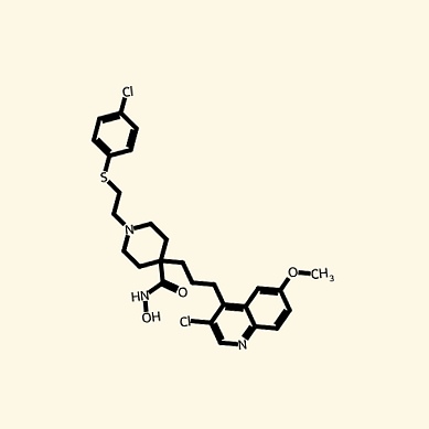 COc1ccc2ncc(Cl)c(CCCC3(C(=O)NO)CCN(CCSc4ccc(Cl)cc4)CC3)c2c1